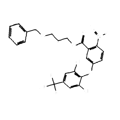 O=C(OCCCOCc1ccccc1)c1cc(Oc2c(Cl)cc(C(F)(F)F)cc2Cl)ccc1[N+](=O)[O-]